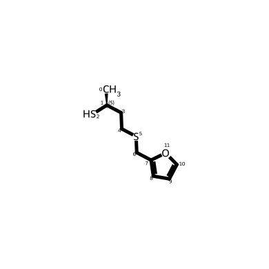 C[C@H](S)CCSCc1ccco1